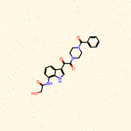 O=C(CO)Nc1cccc2c(C(=O)C(=O)N3CCN(C(=O)c4ccccc4)CC3)c[nH]c12